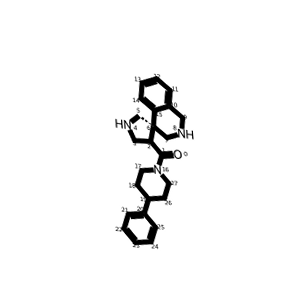 O=C(C1CNC[C@]12CNCc1ccccc12)N1CCC(c2ccccc2)CC1